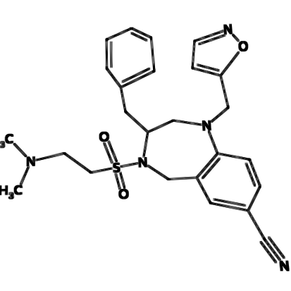 CN(C)CCS(=O)(=O)N1Cc2cc(C#N)ccc2N(Cc2ccno2)CC1Cc1ccccc1